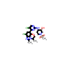 Cc1nc2c(F)cc(-c3nc(N[C@@H]4CCN(S(C)(=O)=O)C[C@H]4O)ncc3Cl)c3c2n1C(C)CO3